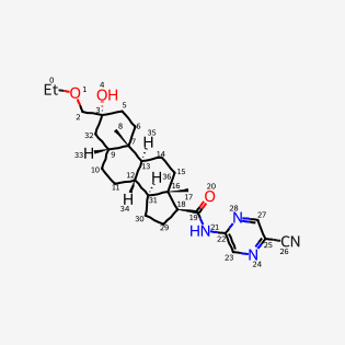 CCOC[C@@]1(O)CC[C@@]2(C)[C@H](CC[C@@H]3[C@@H]2CC[C@]2(C)[C@@H](C(=O)Nc4cnc(C#N)cn4)CC[C@@H]32)C1